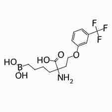 NC(CCCCB(O)O)(CCOc1cccc(C(F)(F)F)c1)C(=O)O